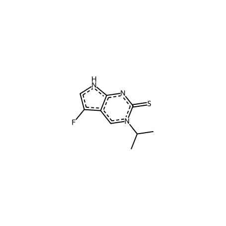 CC(C)n1cc2c(F)c[nH]c2nc1=S